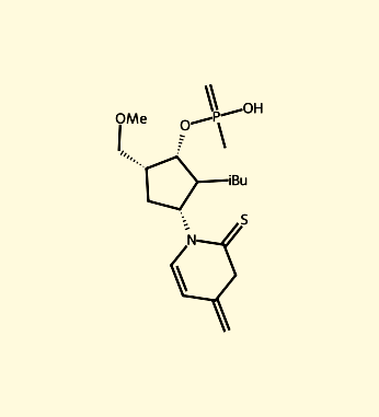 C=C1C=CN([C@@H]2C[C@H](COC)[C@H](OP(=C)(C)O)C2C(C)CC)C(=S)C1